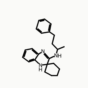 CC(CCc1ccccc1)NC1=Nc2ccccc2NC12CCCCC2